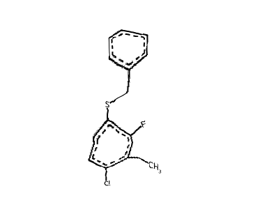 Cc1c(Cl)ccc(SCc2ccccc2)c1F